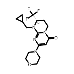 O=c1cc(N2CCOCC2)nc2n1CC[C@@H](C(F)(F)F)N2CC1CC1